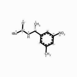 Cc1cc([C@@H](C)N[S+]([O-])C(C)(C)C)cc([N+](=O)[O-])c1